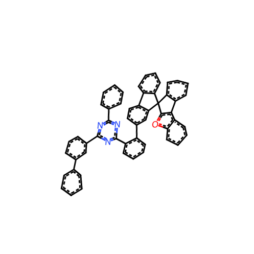 c1ccc(-c2cccc(-c3nc(-c4ccccc4)nc(-c4ccccc4-c4ccc5c(c4)C4(c6ccccc6-5)c5ccccc5-c5c4oc4ccccc54)n3)c2)cc1